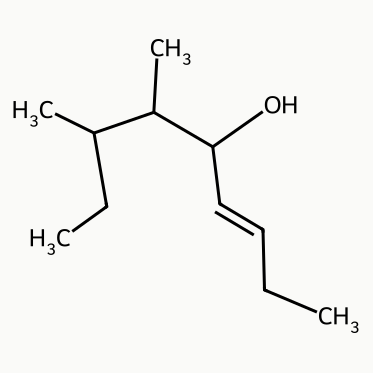 CCC=CC(O)C(C)C(C)CC